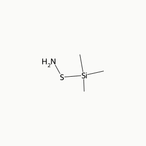 C[Si](C)(C)SN